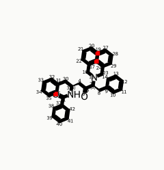 O=C(N[C@H](CC(=O)[C@H](Cc1ccccc1)N(Cc1ccccc1)Cc1ccccc1)Cc1ccccc1)c1ccccc1